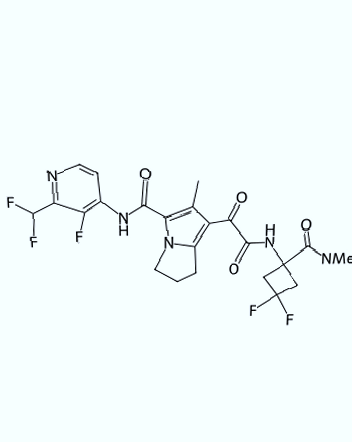 CNC(=O)C1(NC(=O)C(=O)c2c(C)c(C(=O)Nc3ccnc(C(F)F)c3F)n3c2CCC3)CC(F)(F)C1